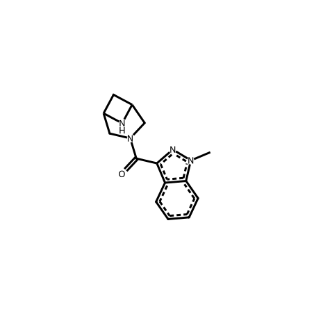 Cn1nc(C(=O)N2CC3CC(C2)N3)c2ccccc21